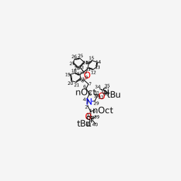 CCCCCCCCC(CN(CCCCCOC(c1ccccc1)(c1ccccc1)c1ccccc1)CC(CCCCCCCC)O[Si](C)(C)C(C)(C)C)O[Si](C)(C)C(C)(C)C